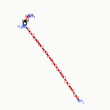 CNC(=O)OC[C@@H]1[C@@H]2CC/C(N)=C(/NCCOCCOCCOCCOCCOCCOCCOCCOCCOCCOCCOCCOCCOCCOCCOCCOCCOCCOCCOCCOCCOCCOCCOCCN)CC[C@@H]21